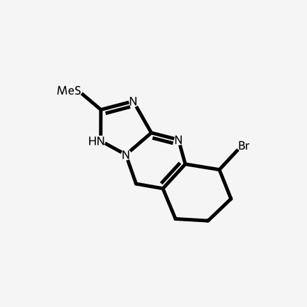 CSC1=NC2=NC3=C(CCCC3Br)CN2N1